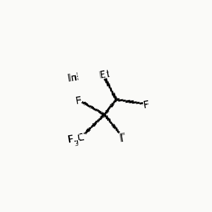 CCC(F)C(F)(F)C(F)(F)F.[In]